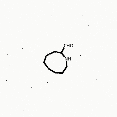 O=CC1CCCCCCCN1